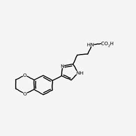 O=C(O)NCCc1nc(-c2ccc3c(c2)OCCO3)c[nH]1